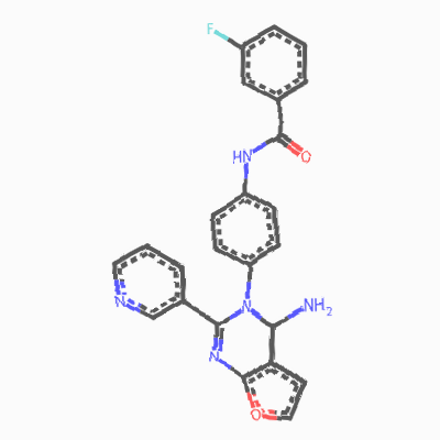 NC1c2ccoc2N=C(c2cccnc2)N1c1ccc(NC(=O)c2cccc(F)c2)cc1